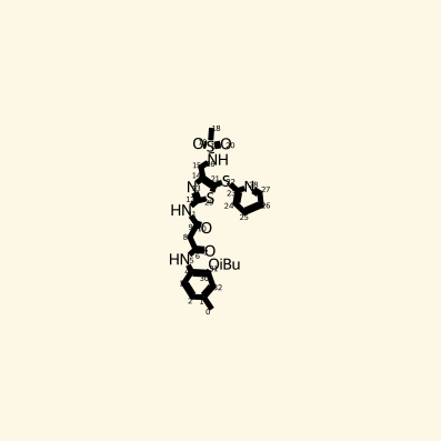 Cc1ccc(NC(=O)CC(=O)Nc2nc(CNS(C)(=O)=O)c(Sc3ccccn3)s2)c(OCC(C)C)c1